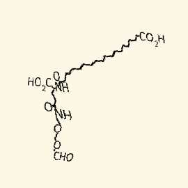 O=CCOCCOCCNC(=O)CCC(NC(=O)CCCCCCCCCCCCCCCCCCC(=O)O)C(=O)O